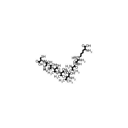 CC(C)C[C@H](N)C(=O)O.CC(C)[C@H](N)C(=O)O.CC(C)[C@H](N)C(=O)O.CC(C)[C@H](N)C(=O)O.C[C@H](N)C(=O)O.NCC(=O)O.NCC(=O)O.NCCCC[C@H](N)C(=O)O.N[C@@H](CS)C(=O)O